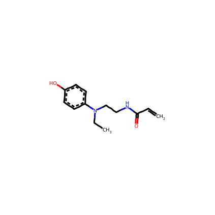 C=CC(=O)NCCN(CC)c1ccc(O)cc1